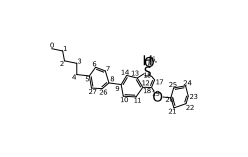 CCCCCc1ccc(-c2ccc3c(c2)[SH]([O])C=C3Oc2ccccc2)cc1